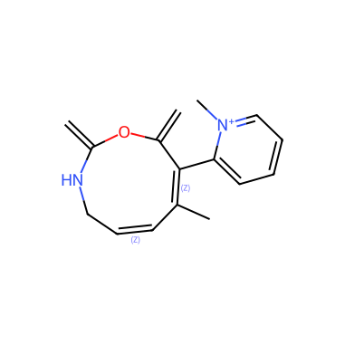 C=C1NC/C=C\C(C)=C(\c2cccc[n+]2C)C(=C)O1